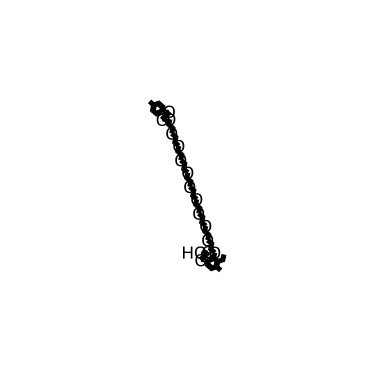 CCc1c(C)ccc(S(=O)(=O)O)c1OCCOCCOCCOCCOCCOCCOCCOCCOCCOCCOS(=O)(=O)c1ccc(C)cc1